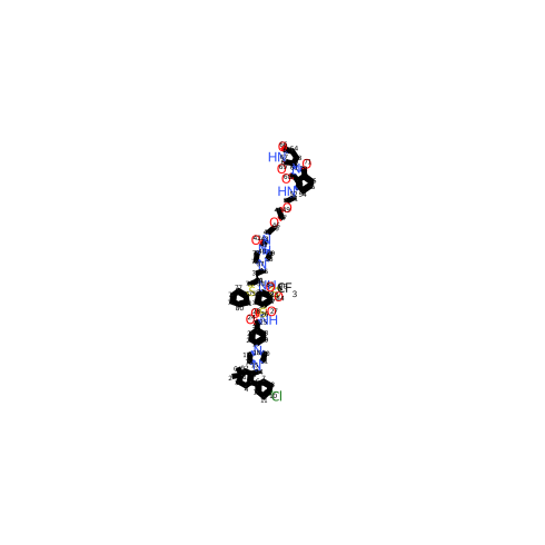 CC1(C)CCC(c2ccc(Cl)cc2)=C(CN2CCN(c3ccc(C(=O)NS(=O)(=O)c4ccc(N[C@H](CCN5CCN(C(=O)NCCOCCOCCNc6cccc7c6C(=O)N(C6CCC(=O)NC6=O)C7=O)CC5)CSc5ccccc5)c(S(=O)(=O)C(F)(F)F)c4)cc3)CC2)C1